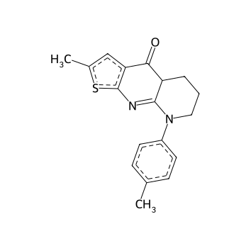 Cc1ccc(N2CCCC3C(=O)c4cc(C)sc4N=C32)cc1